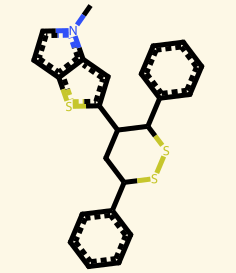 Cn1ccc2sc(C3CC(c4ccccc4)SSC3c3ccccc3)cc21